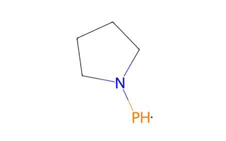 [PH]N1CCCC1